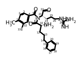 Cc1ccc(C(=O)N(C(=O)[C@H](N)CCCc2ccccc2)[C@H]([C]=O)CCCNC(=N)N)cc1I